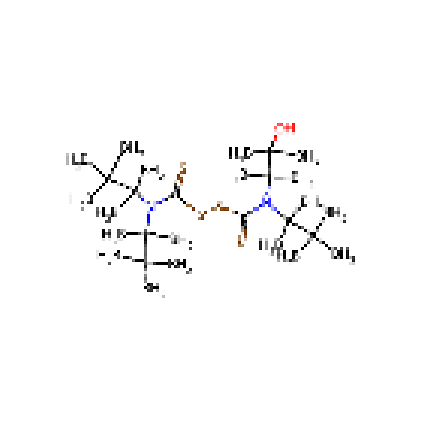 BC(B)(B)C(B)(B)N(C(=S)SSC(=S)N(C(B)(B)C(B)(B)B)C(B)(B)C(B)(B)O)C(B)(B)C(B)(B)B